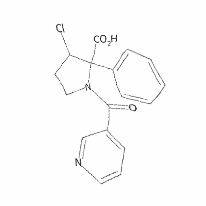 O=C(c1cccnc1)N1CCC(Cl)C1(C(=O)O)c1ccccc1